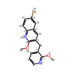 COc1ncccc1Cc1cc2cc(Br)ccc2nc1OC